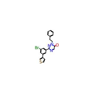 O=c1cnc(-c2cc(Br)cc(-c3ccsc3)c2)nn1CCc1ccccc1